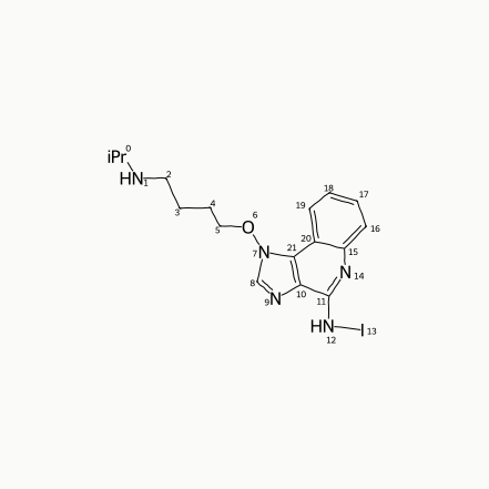 CC(C)NCCCCOn1cnc2c(NI)nc3ccccc3c21